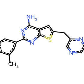 Cc1cccc(-c2nc(N)c3cc(Cc4cnccn4)sc3n2)c1